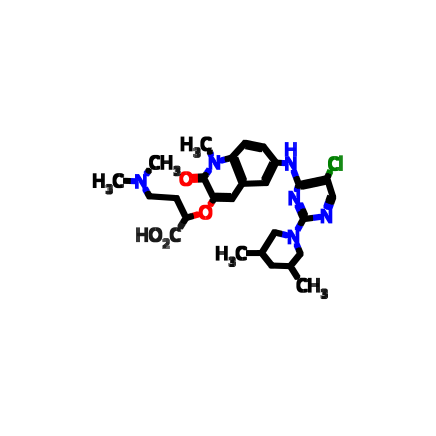 CC1CC(C)CN(c2ncc(Cl)c(Nc3ccc4c(c3)cc(OC(CCN(C)C)C(=O)O)c(=O)n4C)n2)C1